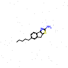 CCCCCc1ccc2c(c1)Cc1sc(N)nc1-2